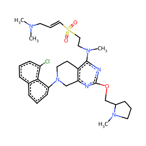 CN(C)CC=CS(=O)(=O)CCN(C)c1nc(OCC2CCCN2C)nc2c1CCN(c1cccc3cccc(Cl)c13)C2